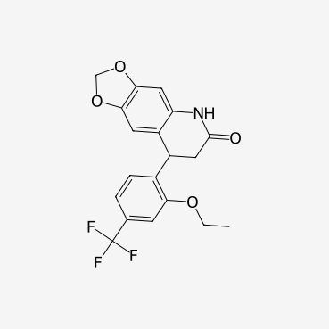 CCOc1cc(C(F)(F)F)ccc1C1CC(=O)Nc2cc3c(cc21)OCO3